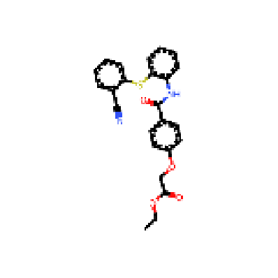 CCOC(=O)COc1ccc(C(=O)Nc2ccccc2Sc2ccccc2C#N)cc1